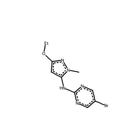 CCOc1cc(Nc2ncc(Br)cn2)n(C)n1